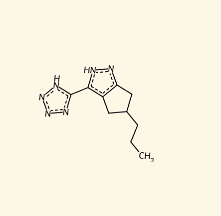 CCCC1Cc2n[nH]c(-c3nnn[nH]3)c2C1